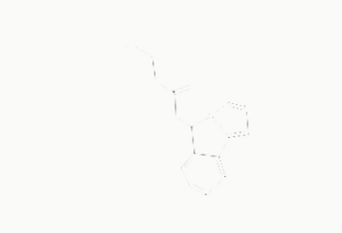 CCOC(=O)CC1c2ccccc2-c2cncn21